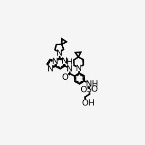 O=C(Nc1cc2nccn2c(N2CCC3(CC3)C2)n1)c1ccc(NS(=O)(=O)CCO)cc1N1CCC2(CC1)CC2